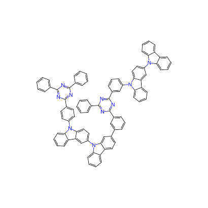 c1ccc(-c2nc(-c3ccccc3)nc(-c3ccc(-n4c5ccccc5c5cc(-n6c7ccccc7c7ccc(-c8cccc(-c9nc(-c%10ccccc%10)nc(-c%10cccc(-n%11c%12ccccc%12c%12cc(-n%13c%14ccccc%14c%14ccccc%14%13)ccc%12%11)c%10)n9)c8)cc76)ccc54)cc3)n2)cc1